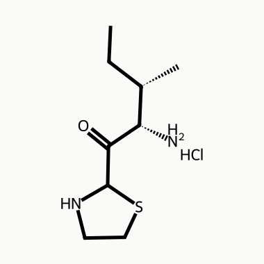 CC[C@H](C)[C@H](N)C(=O)C1NCCS1.Cl